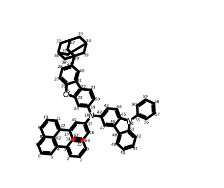 c1ccc(-c2cccc3cccc(-c4cccc(N(c5ccc6c(c5)oc5ccc(C78CC9CC(CC(C9)C7)C8)cc56)c5ccc6c(c5)c5ccccc5n6-c5ccccc5)c4)c23)cc1